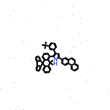 CC(C)(C)c1cccc(-c2cc(-c3ccc4c(ccc5ccccc54)c3)[nH]c2-c2cccc3c2C(C)(C)c2ccccc2C32c3ccccc3-c3ccccc32)c1